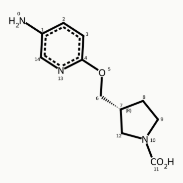 Nc1ccc(OC[C@@H]2CCN(C(=O)O)C2)nc1